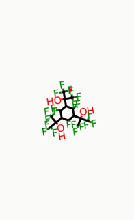 OC(C1C(F)C(C(O)(C(F)(F)F)C(F)(F)F)C(F)C(C(O)(C(F)(F)F)C(F)(F)F)C1F)(C(F)(F)F)C(F)(F)F